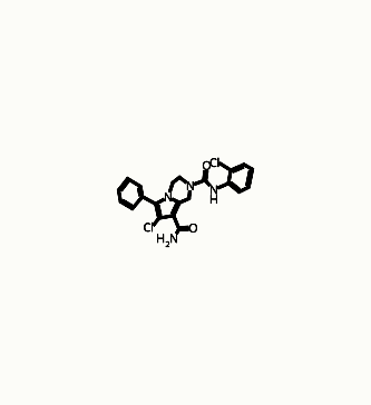 NC(=O)c1c(Cl)c(-c2ccccc2)n2c1CN(C(=O)Nc1ccccc1Cl)CC2